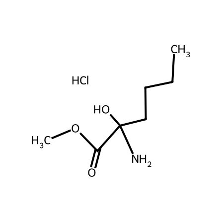 CCCCC(N)(O)C(=O)OC.Cl